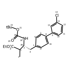 CCOC(=O)C(C)[C@@H](Cc1ccc(-c2cccc(Cl)c2)cc1)NC(=O)OC(C)(C)C